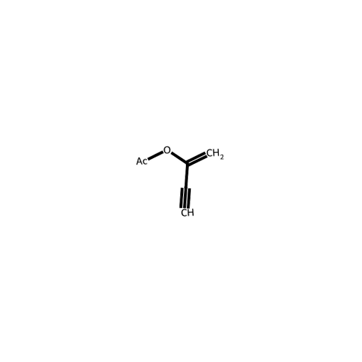 C#CC(=C)OC(C)=O